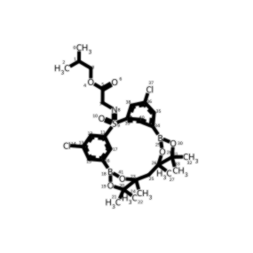 CC(C)COC(=O)CN=S1(=O)c2cc(Cl)cc(c2)B2OC(C)(C)C(C)(CC3(C)OB(OC3(C)C)c3cc(Cl)cc1c3)O2